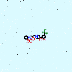 COc1ccccc1N1CC(CN2CCC(O)(c3cccc(C(F)(F)F)c3)CC2)OC1=O